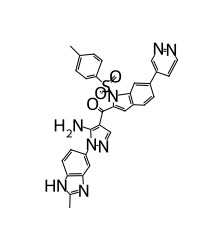 Cc1ccc(S(=O)(=O)n2c(C(=O)c3cnn(-c4ccc5[nH]c(C)nc5c4)c3N)cc3ccc(-c4ccnnc4)cc32)cc1